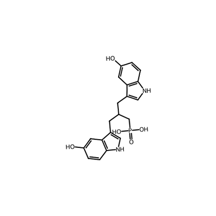 O=P(O)(O)CC(Cc1c[nH]c2ccc(O)cc12)Cc1c[nH]c2ccc(O)cc12